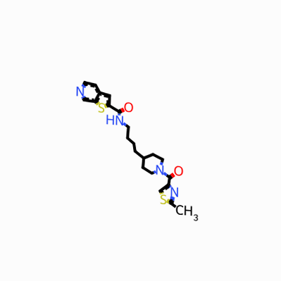 Cc1nc(C(=O)N2CCC(CCCCNC(=O)c3cc4ccncc4s3)CC2)cs1